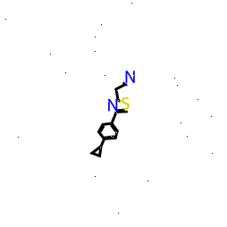 N#CCc1nc(-c2ccc(C3CC3)cc2)cs1